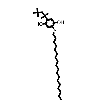 CCCCCCCCCCCCCCCCCCSc1cc(O)c(C(C)(C)CC(C)(C)C)cc1O